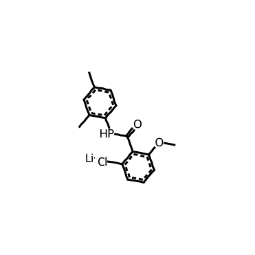 COc1cccc(Cl)c1C(=O)Pc1ccc(C)cc1C.[Li]